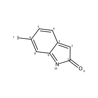 O=C1C=c2ccc(I)cc2=N1